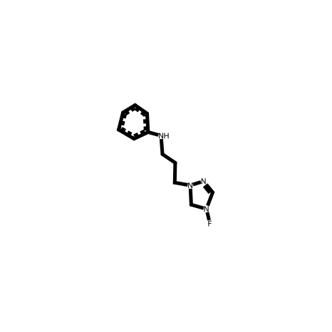 FN1C=NN(CCCNc2ccccc2)C1